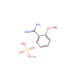 CCOc1ccccc1C(=N)N.COS(=O)(=O)O